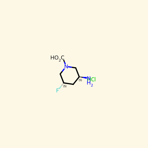 Cl.N[C@H]1C[C@H](F)CN(C(=O)O)C1